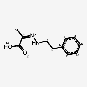 CC(=NNCCc1ccccc1)C(=O)O